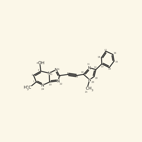 Cc1cc(O)n2nc(C#Cc3nc(-c4ccccc4)cn3C)nc2n1